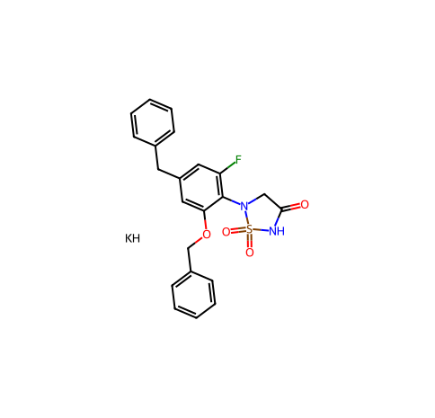 O=C1CN(c2c(F)cc(Cc3ccccc3)cc2OCc2ccccc2)S(=O)(=O)N1.[KH]